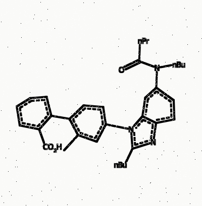 CCCCc1nc2ccc(N(CCCC)C(=O)CCC)cc2n1-c1ccc(-c2ccccc2C(=O)O)c(C)c1